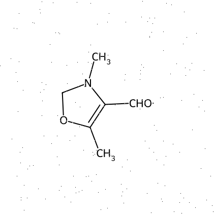 CC1=C([C]=O)N(C)CO1